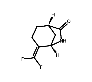 O=C1N[C@H]2C[C@@H]1CCC2=C(F)F